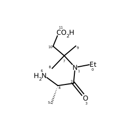 CCN(C(=O)[C@H](C)N)C(C)(C)CC(=O)O